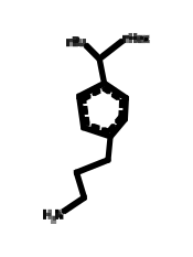 CCCCCCC(CCCC)c1ccc(CCCN)cc1